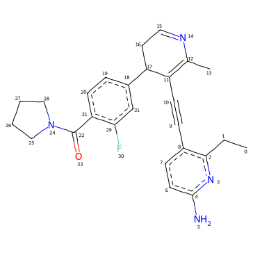 CCc1nc(N)ccc1C#CC1=C(C)N=CCC1c1ccc(C(=O)N2CCCC2)c(F)c1